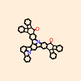 O=C1c2cc3c(cc2C2c4ccccc4C24c2ccccc2C14)c1cc2c(c4cccc5c6ccccc6n2c54)c2c4cc5c(cc4n3c12)C(=O)C1c2ccccc2C12c1ccccc1C52